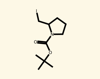 CC(C)(C)OC(=O)N1CCCC1CI